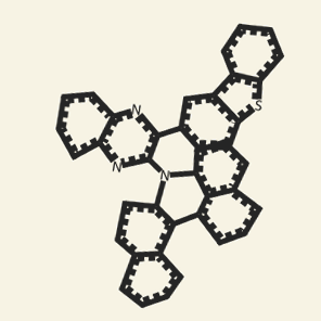 c1ccc2c3c(ccc2c1)N(c1nc2ccccc2nc1-c1ccc2sc4ccccc4c2c1)c1cccc2cccc-3c12